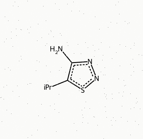 CC(C)c1snnc1N